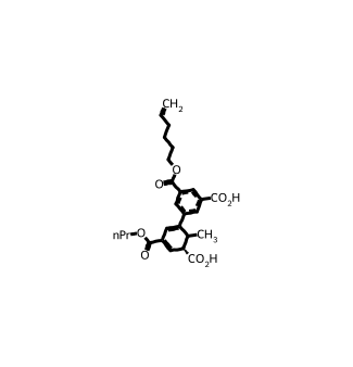 C=CCCCCOC(=O)c1cc(C(=O)O)cc(C2=CC(C(=O)OCCC)=C[C@H](C(=O)O)C2C)c1